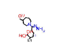 CCC(/C=C\C/C(=N\N)N1CCCC(CO)CC1)C(O)O